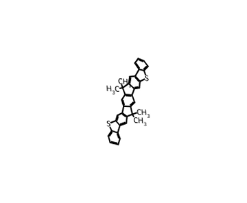 CC1(C)c2cc3c(cc2-c2cc4sc5ccccc5c4cc21)C(C)(C)c1cc2c(cc1-3)sc1ccccc12